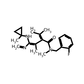 C=N/C(NC1(C)CC1)=C(\C)C(C(=O)N(C)Cc1ccccc1F)=C(C)C